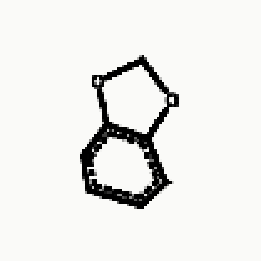 [c]1cccc2c1O[CH]O2